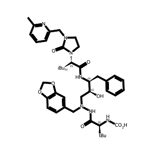 CC[C@H](C)[C@@H](C(=O)N[C@@H](Cc1ccccc1)[C@@H](O)CN(Cc1ccc2c(c1)OCO2)NC(=O)[C@@H](NC(=O)O)C(C)(C)C)N1CCN(Cc2cccc(C)n2)C1=O